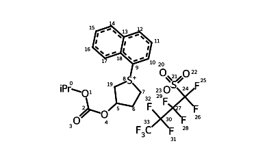 CC(C)OC(=O)OC1CC[S+](c2cccc3ccccc23)C1.O=S(=O)([O-])C(F)(F)C(F)(F)C(F)(F)C(F)(F)F